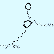 COCCCOc1cc(CCCCCC[C@@H](C)C(=O)O)ccc1OCc1ccccc1